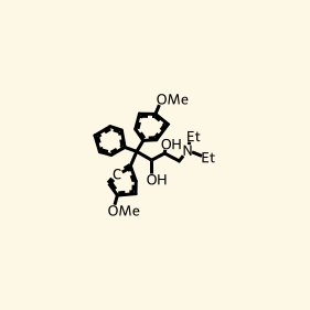 CCN(CC)CC(O)C(O)C(c1ccccc1)(c1ccc(OC)cc1)c1ccc(OC)cc1